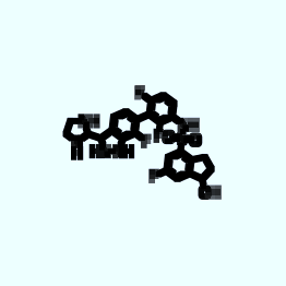 O=S(=O)(Nc1ccc(F)c(-c2ccc3c(c2F)NNC3C2NCCN2)c1F)c1cc(F)cc2c1CCC2O